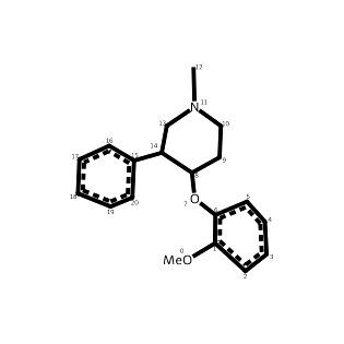 COc1ccccc1OC1CCN(C)CC1c1ccccc1